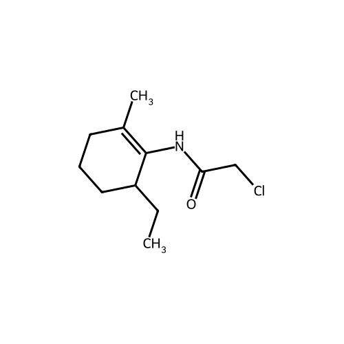 CCC1CCCC(C)=C1NC(=O)CCl